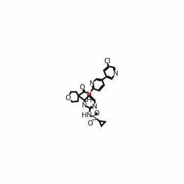 O=C(Nc1ccc(-c2cncc(Cl)c2)cn1)C1(c2ccnc(NS(=O)(=O)C3CC3)n2)CCOCC1